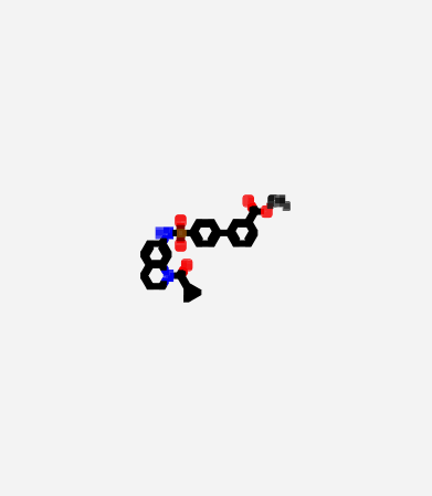 COC(=O)c1cccc(-c2ccc(S(=O)(=O)Nc3ccc4c(c3)N(C(=O)C3CC3)CCC4)cc2)c1